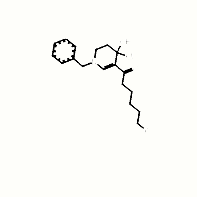 CCCCCCC(=O)C1=CN(Cc2ccccc2)CCC1(C)C